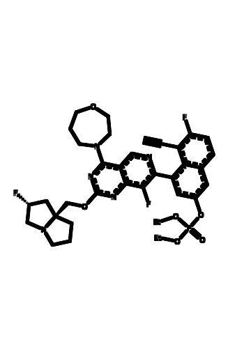 C#Cc1c(F)ccc2cc(OP(=O)(OCC)OCC)cc(-c3ncc4c(N5CCCOCC5)nc(OC[C@@]56CCCN5C[C@H](F)C6)nc4c3F)c12